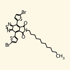 CCCCCCCCCCCCN1C(=O)c2c(c(-c3ccc(Br)s3)c3nsnc3c2-c2ccc(Br)s2)C1=O